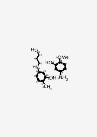 COc1ccc(N)cc1O.Cc1ccc(NCCCO)cc1O